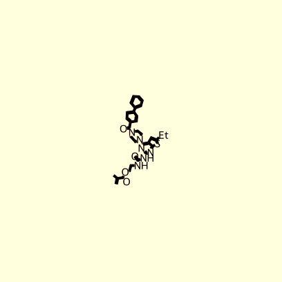 C=C(C)C(=O)OCCNC(=O)Nc1nc(N2CCN(C(=O)c3ccc(-c4ccccc4)cc3)CC2)c2cc(CC)sc2n1